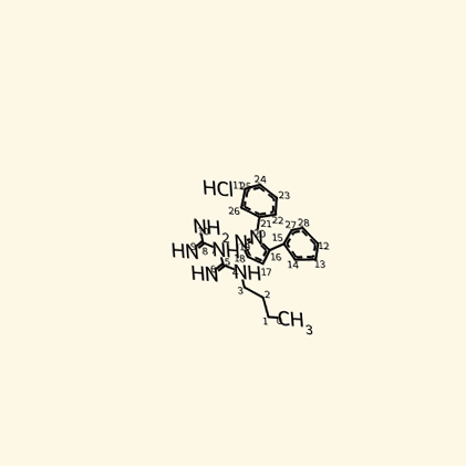 CCCCNC(=N)NC(=N)N.Cl.c1ccc(-c2ccnn2-c2ccccc2)cc1